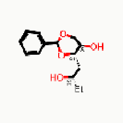 CC[C@H](O)C[C@@H]1OC(c2ccccc2)OC[C@H]1O